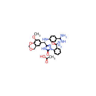 CC(=O)O.COc1cc([C@H](Nc2ccc(C(=N)N)cc2)c2nn(-c3ccccc3C(N)=O)c(=O)[nH]2)cc2c1OCOC2